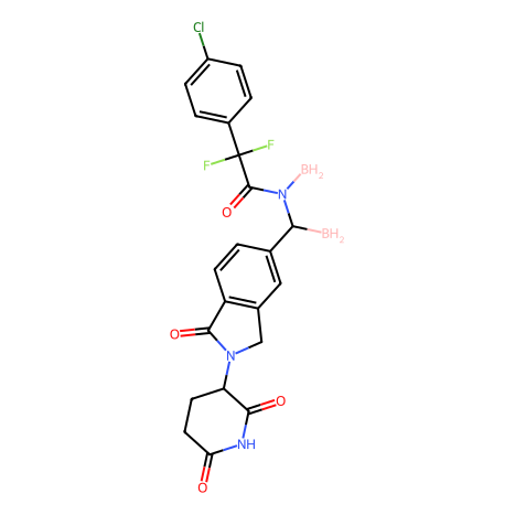 BC(c1ccc2c(c1)CN(C1CCC(=O)NC1=O)C2=O)N(B)C(=O)C(F)(F)c1ccc(Cl)cc1